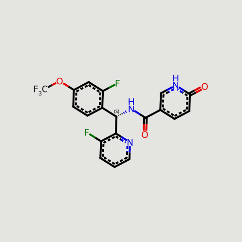 O=C(N[C@@H](c1ccc(OC(F)(F)F)cc1F)c1ncccc1F)c1ccc(=O)[nH]c1